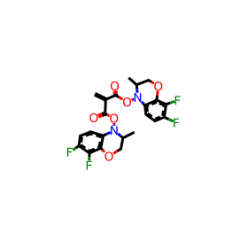 C=C(C(=O)ON1c2ccc(F)c(F)c2OCC1C)C(=O)ON1c2ccc(F)c(F)c2OCC1C